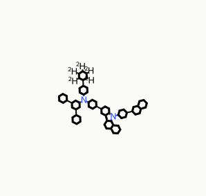 [2H]c1c([2H])c([2H])c(-c2ccc(N(c3ccc(-c4ccc5c(c4)c4ccc6ccccc6c4n5-c4ccc(-c5ccc6ccccc6c5)cc4)cc3)c3cc(-c4ccccc4)cc(-c4ccccc4)c3)cc2)c([2H])c1[2H]